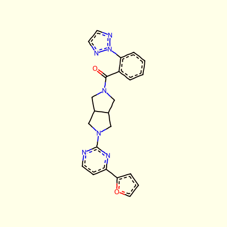 O=C(c1ccccc1-n1nccn1)N1CC2CN(c3nccc(-c4ccco4)n3)CC2C1